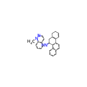 C.N=C1CC2=C(C=CCC2)c2ccc3ccccc3c21.c1ccc2nnccc2c1